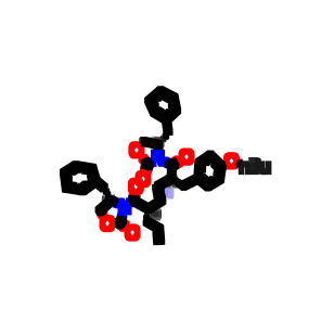 C=CC[C@@H](/C=C/[C@H](Cc1ccc(OCCCC)cc1)C(=O)N1C(=O)OC[C@@H]1Cc1ccccc1)C(=O)N1C(=O)OC[C@@H]1Cc1ccccc1